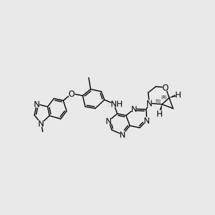 Cc1cc(Nc2ncnc3cnc(N4CCO[C@@H]5C[C@@H]54)nc23)ccc1Oc1ccc2c(c1)ncn2C